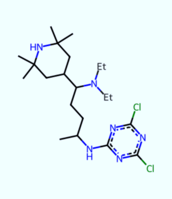 CCN(CC)C(CCC(C)Nc1nc(Cl)nc(Cl)n1)C1CC(C)(C)NC(C)(C)C1